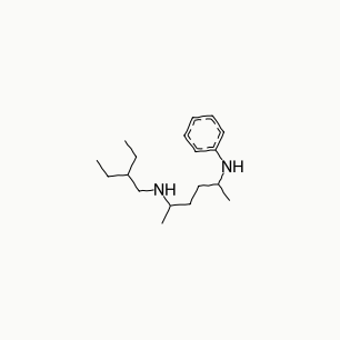 CCC(CC)CNC(C)CCC(C)Nc1ccccc1